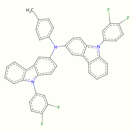 Cc1ccc(N(c2ccc3c(c2)c2ccccc2n3-c2ccc(F)c(F)c2)c2ccc3c(c2)c2ccccc2n3-c2ccc(F)c(F)c2)cc1